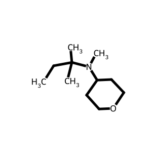 CCC(C)(C)N(C)C1CCOCC1